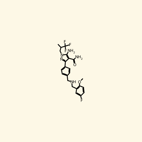 COc1ccc(F)cc1CNCc1ccc(-c2nn(CC(C)C(F)(F)F)c(N)c2C(N)=O)cc1